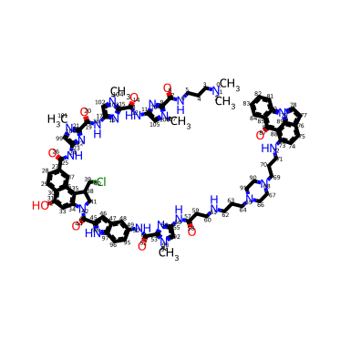 CN(C)CCCNC(=O)c1nc(NC(=O)c2nc(NC(=O)c3nc(NC(=O)c4ccc5c(O)cc6c(c5c4)C(CCl)CN6C(=O)c4cc5cc(NC(=O)c6nc(NC(=O)CCNCCCN7CCN(CCCNc8ccc9ccn%10c%11ccccc%11c(=O)c8c9%10)CC7)cn6C)ccc5[nH]4)cn3C)cn2C)cn1C